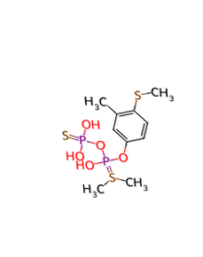 CSc1ccc(OP(O)(OP(O)(O)=S)=S(C)C)cc1C